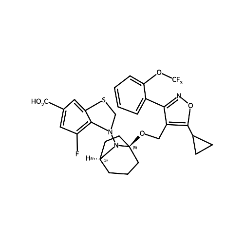 O=C(O)c1cc(F)c2c(c1)SCN2N1[C@H]2CCC[C@@]1(OCc1c(-c3ccccc3OC(F)(F)F)noc1C1CC1)CC2